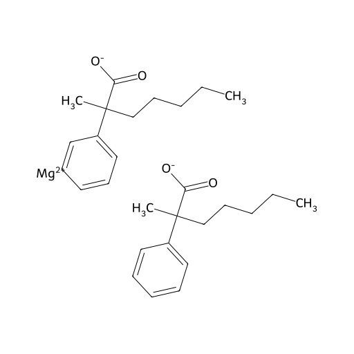 CCCCCC(C)(C(=O)[O-])c1ccccc1.CCCCCC(C)(C(=O)[O-])c1ccccc1.[Mg+2]